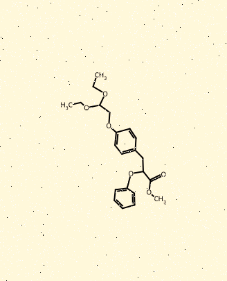 CCOC(COc1ccc(CC(Oc2ccccc2)C(=O)OC)cc1)OCC